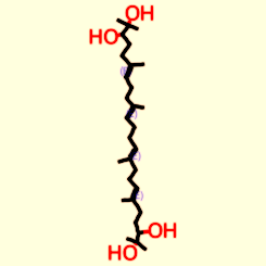 C/C(=C\CC/C=C(\C)CC/C=C(\C)CCC(O)C(C)(C)O)CC/C=C(\C)CCC(O)C(C)(C)O